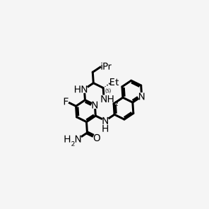 CC[C@H](N)C(CC(C)C)Nc1nc(Nc2ccc3ncccc3c2)c(C(N)=O)cc1F